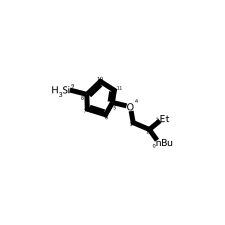 CCCCC(CC)COc1ccc([SiH3])cc1